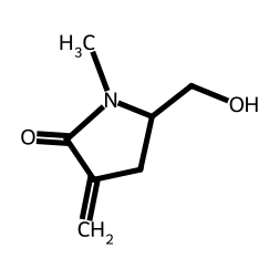 C=C1CC(CO)N(C)C1=O